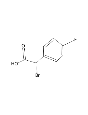 O=C(O)[C@@H](Br)c1ccc(F)cc1